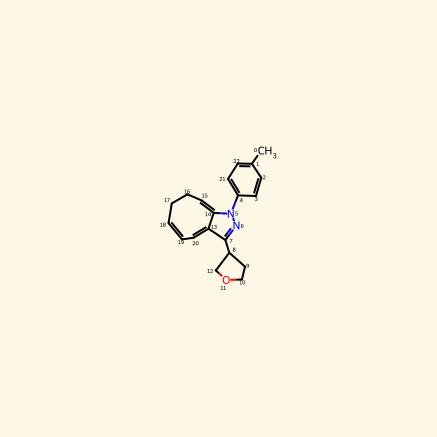 Cc1ccc(-n2nc(C3CCOC3)c3/c2=C\CC/C=C\C=3)cc1